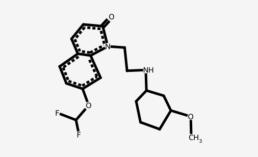 COC1CCCC(NCCn2c(=O)ccc3ccc(OC(F)F)cc32)C1